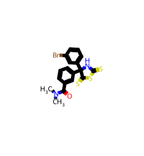 CN(C)C(=O)c1cccc(C2(c3cccc(Br)c3)NC(=S)SC2=S)c1